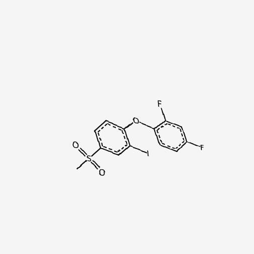 CS(=O)(=O)c1ccc(Oc2ccc(F)cc2F)c(I)c1